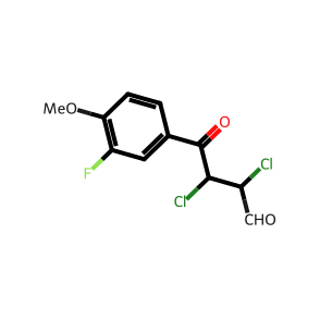 COc1ccc(C(=O)C(Cl)C(Cl)C=O)cc1F